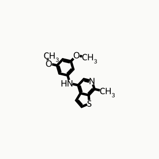 COc1cc(Nc2cnc(C)c3sccc23)cc(OC)c1